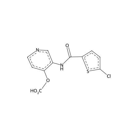 O=C(O)Oc1ccncc1NC(=O)c1ccc(Cl)s1